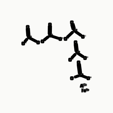 O=[N+]([O-])[O-].O=[N+]([O-])[O-].O=[N+]([O-])[O-].O=[N+]([O-])[O-].O=[N+]([O-])[O-].[Al+3].[Fe+2]